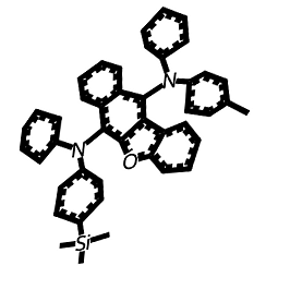 Cc1ccc(N(c2ccccc2)c2c3ccccc3c(N(c3ccccc3)c3ccc([Si](C)(C)C)cc3)c3oc4ccccc4c23)cc1